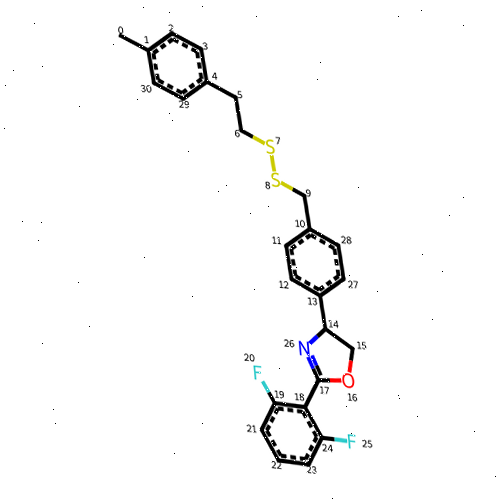 Cc1ccc(CCSSCc2ccc(C3COC(c4c(F)cccc4F)=N3)cc2)cc1